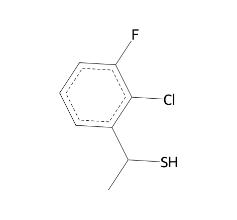 CC(S)c1cccc(F)c1Cl